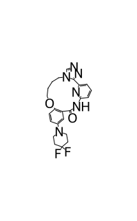 O=C1Nc2cccc(n2)-c2nncn2CCCCOc2ccc(N3CCC(F)(F)CC3)cc21